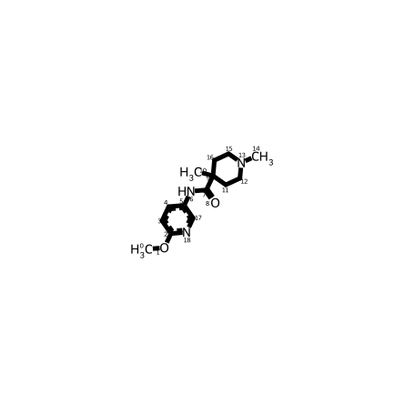 COc1ccc(NC(=O)C2(C)CCN(C)CC2)cn1